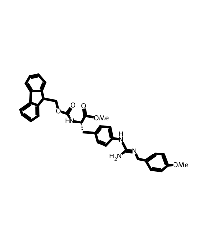 COC(=O)[C@H](Cc1ccc(N/C(N)=N/Cc2ccc(OC)cc2)cc1)NC(=O)OCC1c2ccccc2-c2ccccc21